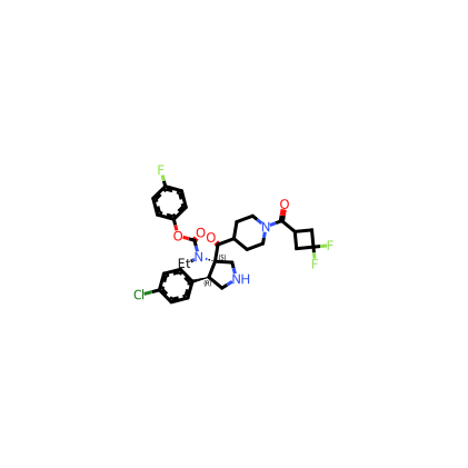 CCN(C(=O)Oc1ccc(F)cc1)[C@]1(C(=O)C2CCN(C(=O)C3CC(F)(F)C3)CC2)CNC[C@H]1c1ccc(Cl)cc1